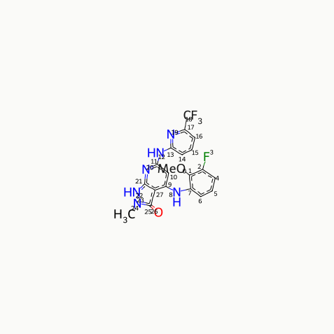 COc1c(F)cccc1Nc1cc(Nc2cccc(C(F)(F)F)n2)nc2[nH]n(C)c(=O)c12